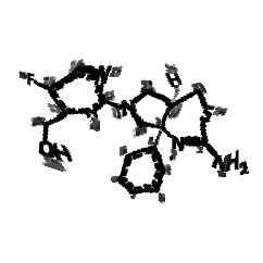 NC1=N[C@@]2(c3ccccc3)CN(c3ncc(F)c(CO)n3)C[C@H]2CS1